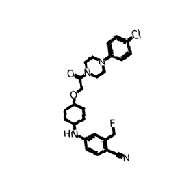 N#Cc1ccc(NC2CCC(OCC(=O)N3CCN(c4ccc(Cl)cc4)CC3)CC2)cc1CF